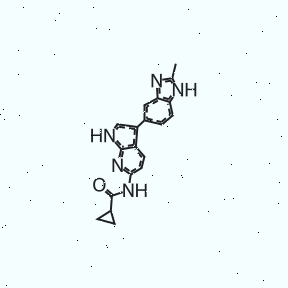 Cc1nc2cc(-c3c[nH]c4nc(NC(=O)C5CC5)ccc34)ccc2[nH]1